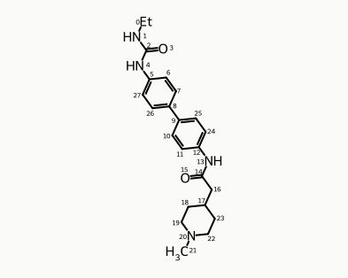 CCNC(=O)Nc1ccc(-c2ccc(NC(=O)CC3CCN(C)CC3)cc2)cc1